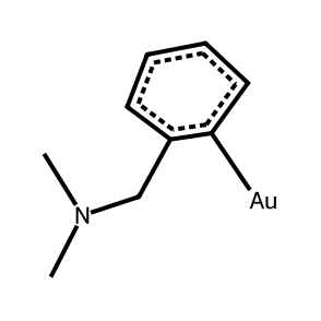 CN(C)Cc1cccc[c]1[Au]